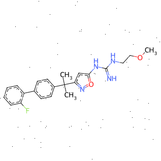 COCCNC(=N)Nc1cc(C(C)(C)c2ccc(-c3ccccc3F)cc2)no1